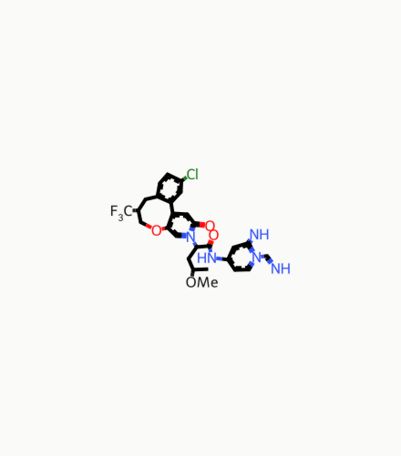 COC(C)CC(C(=O)Nc1ccn(C=N)c(=N)c1)n1cc2c(cc1=O)-c1cc(Cl)ccc1CC(C(F)(F)F)CO2